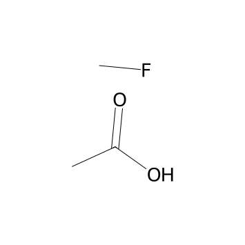 CC(=O)O.CF